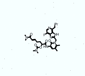 Cc1cc(NC(=O)C(CCC=CC(=O)N(C)C)OC(=O)N(C)C)c(=O)n(Cc2nc3c(F)cnc(CC(C)C)c3[nH]2)c1C